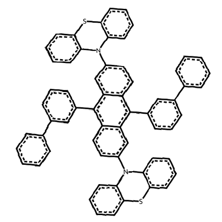 c1ccc(-c2cccc(-c3c4ccc(N5c6ccccc6Sc6ccccc65)cc4c(-c4cccc(-c5ccccc5)c4)c4ccc(N5c6ccccc6Sc6ccccc65)cc34)c2)cc1